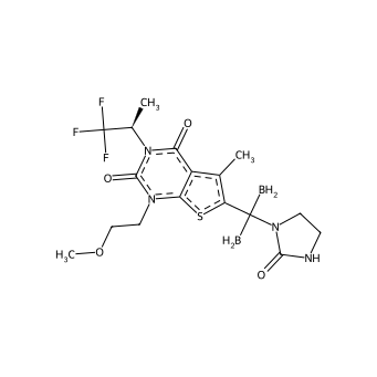 BC(B)(c1sc2c(c1C)c(=O)n([C@H](C)C(F)(F)F)c(=O)n2CCOC)N1CCNC1=O